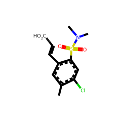 Cc1cc(/C=C/C(=O)O)c(S(=O)(=O)N(C)C)cc1Cl